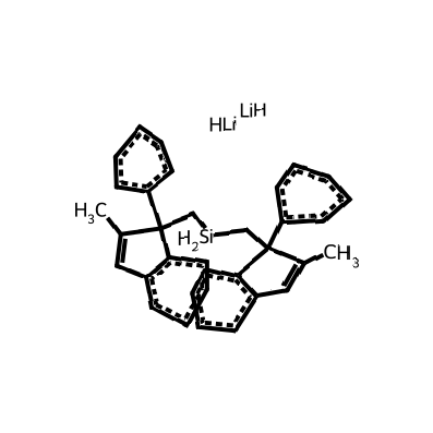 CC1=Cc2ccccc2C1(C[SiH2]CC1(c2ccccc2)C(C)=Cc2ccccc21)c1ccccc1.[LiH].[LiH]